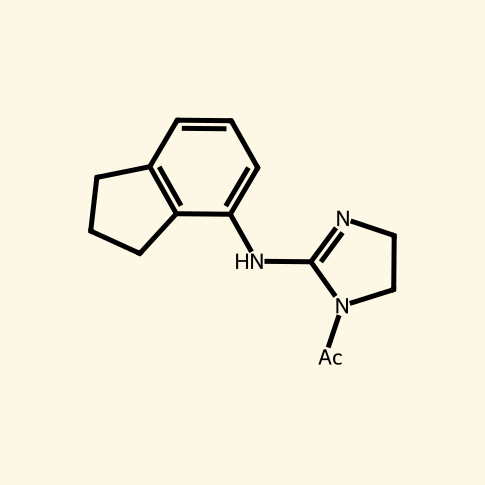 CC(=O)N1CCN=C1Nc1cccc2c1CCC2